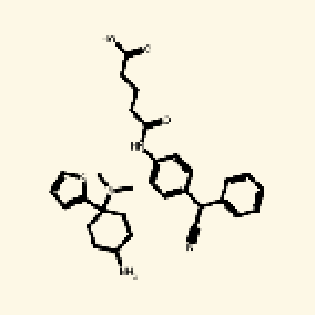 CN(C)C1(c2cccs2)CCC(N)CC1.N#CC(c1ccccc1)c1ccc(NC(=O)CCCC(=O)O)cc1